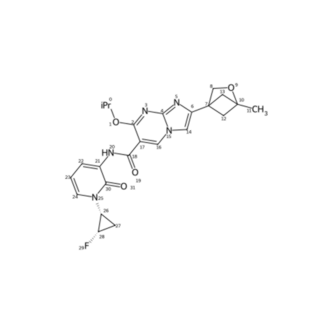 CC(C)Oc1nc2nc(C34COC(C)(C3)C4)cn2cc1C(=O)Nc1cccn([C@@H]2C[C@@H]2F)c1=O